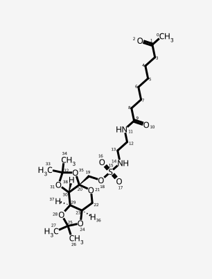 CC(=O)CCCCCCC(=O)NCCNS(=O)(=O)OC[C@@]12OC[C@H]3OC(C)(C)O[C@H]3[C@@H]1OC(C)(C)O2